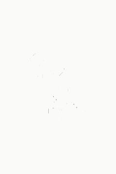 Nc1c(Cl)c(F)nc(OCC(=O)SCc2ccccc2C(F)(F)F)c1Cl